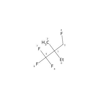 CCC(C)(CF)C(F)(F)F